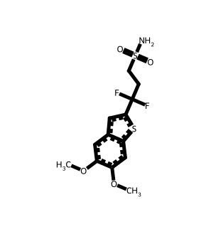 COc1cc2cc(C(F)(F)CCS(N)(=O)=O)sc2cc1OC